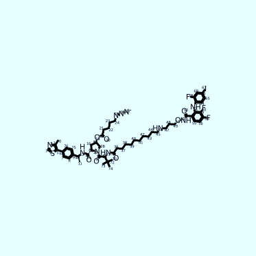 Cc1ncsc1-c1ccc([C@H](C)NC(=O)[C@@H]2C[C@@H](OC(=O)CCCCN=[N+]=[N-])CN2C(=O)[C@@H](NC(=O)CCCCCCCCCCNCCCONC(=O)c2ccc(F)c(F)c2Nc2ccc(I)cc2F)C(C)(C)C)cc1